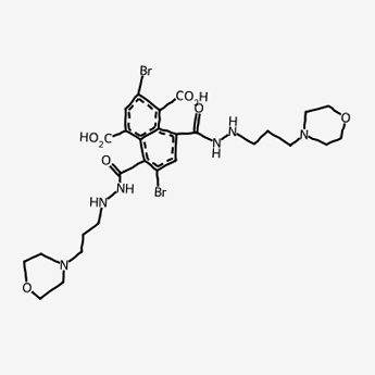 O=C(O)c1cc(Br)c(C(=O)O)c2c(C(=O)NNCCCN3CCOCC3)cc(Br)c(C(=O)NNCCCN3CCOCC3)c12